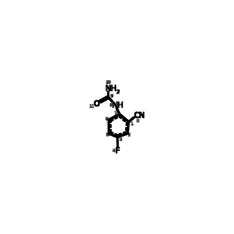 N#Cc1cc(F)[c]cc1NC(N)=O